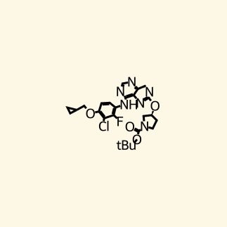 CC(C)(C)OC(=O)N1CC[C@H](Oc2ncc3ncnc(Nc4ccc(OCC5CC5)c(Cl)c4F)c3n2)C1